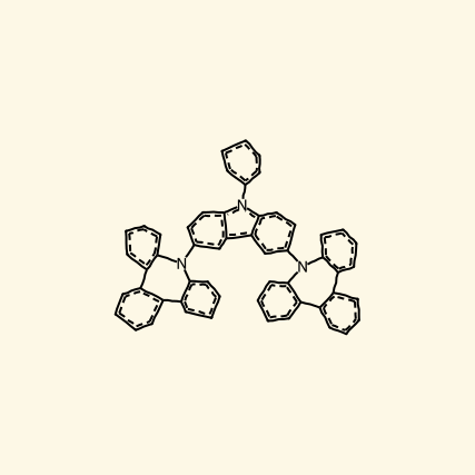 c1ccc(-n2c3ccc(N4c5ccccc5-c5ccccc5-c5ccccc54)cc3c3cc(N4c5ccccc5-c5ccccc5-c5ccccc54)ccc32)cc1